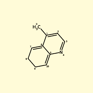 Cc1ccnc2c1=CCCC=2